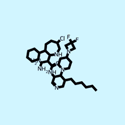 CCCCCCC1CN=CC(NC(=O)C(C(N)N)C2NCC(Cl)CCC2C2CCCCC2)C1N1CCC(N2CC(F)(F)C2)CC1